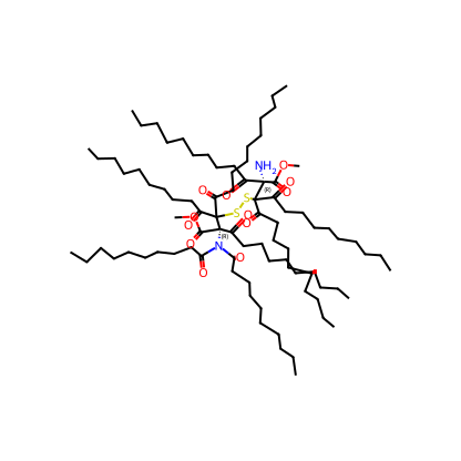 CCCCCCCCCC(=O)N(C(=O)CCCCCCCCC)[C@](C(=O)CCCCCCCCC)(C(=O)OC)C(SSC(C(=O)CCCCCCCCC)(C(=O)CCCCCCCCC)[C@@](N)(C(=O)CCCCCCCCC)C(=O)OC)(C(=O)CCCCCCCCC)C(=O)CCCCCCCCC